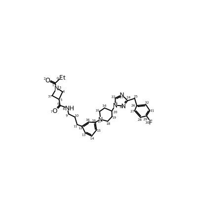 CCC(=O)N1CC(C(=O)NCCCc2cccc(N3CCC(n4cnc(Cc5ccc(F)cc5)n4)CC3)c2)C1